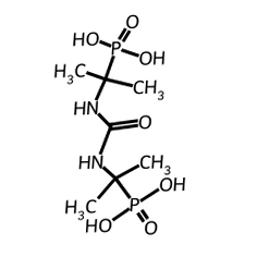 CC(C)(NC(=O)NC(C)(C)P(=O)(O)O)P(=O)(O)O